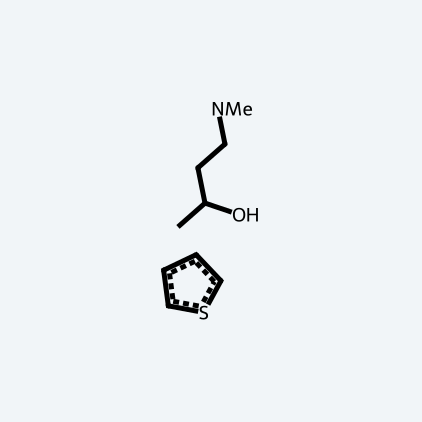 CNCCC(C)O.c1ccsc1